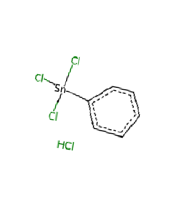 Cl.[Cl][Sn]([Cl])([Cl])[c]1ccccc1